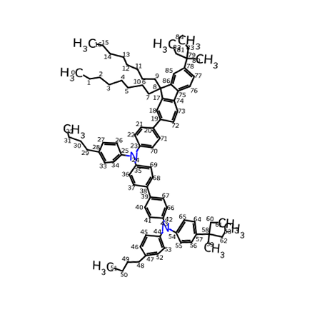 CCCCCCCCC1(CCCCCCCC)c2cc(-c3ccc(N(c4ccc(CCCC)cc4)c4ccc(-c5ccc(N(c6ccc(CCCC)cc6)c6ccc(C(C)(CC)CC)cc6)cc5)cc4)cc3)ccc2-c2ccc(C(C)(CC)CC)cc21